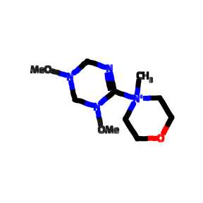 CON1CN=C([N+]2(C)CCOCC2)N(OC)C1